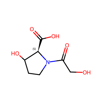 O=C(O)[C@@H]1C(O)CCN1C(=O)CO